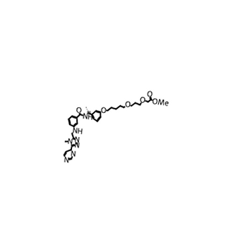 COC(=O)COCCCOCCCCCOc1cccc([C@@H](C)NC(=O)c2cccc(NCc3nnc(-c4ccncn4)n3C)c2)c1